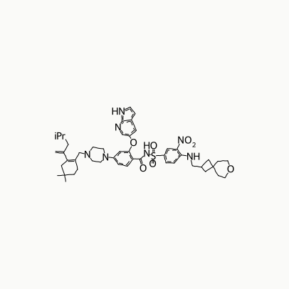 C=C(CC(C)C)C1=C(CN2CCN(c3ccc(C(=O)NS(=O)(=O)c4ccc(NCC5CC6(CCOCC6)C5)c([N+](=O)[O-])c4)c(Oc4cnc5[nH]ccc5c4)c3)CC2)CCC(C)(C)C1